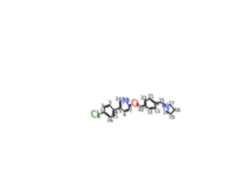 Clc1ccc(-c2ccc(OCc3ccc(CN4CCCC4)cc3)nc2)cc1